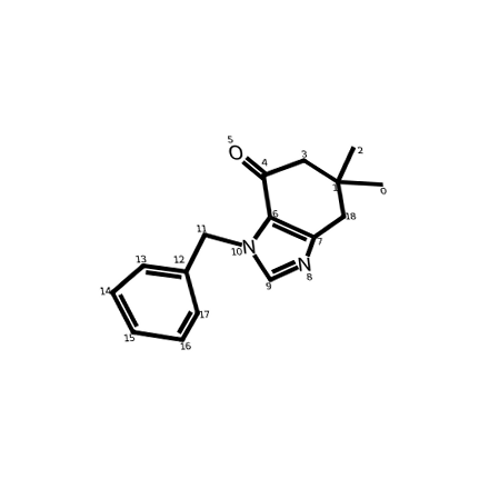 CC1(C)CC(=O)c2c(ncn2Cc2ccccc2)C1